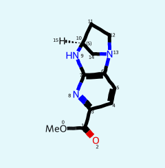 COC(=O)c1ccc2c(n1)N[C@H]1CCN2C1